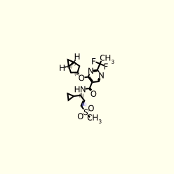 CC(F)(F)c1ncc(C(=O)N[C@H](/C=C/S(C)(=O)=O)C2CC2)c(O[C@@H]2C[C@@H]3C[C@@H]3C2)n1